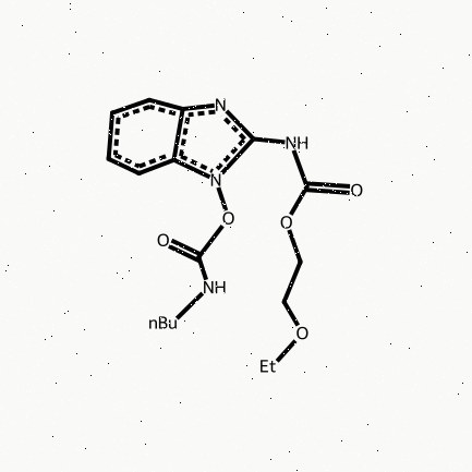 CCCCNC(=O)On1c(NC(=O)OCCOCC)nc2ccccc21